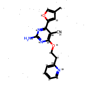 Cc1coc(-c2nc(N)nc(OCCc3ccccn3)c2C#N)c1